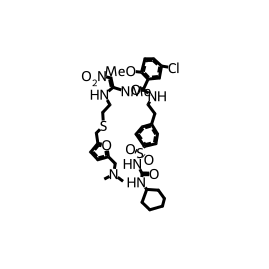 CN/C(=C/[N+](=O)[O-])NCCSCc1ccc(CN(C)C)o1.COc1ccc(Cl)cc1C(=O)NCCc1ccc(S(=O)(=O)NC(=O)NC2CCCCC2)cc1